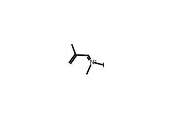 C=C(C)/C=[N+](\C)I